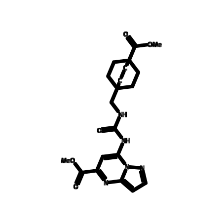 COC(=O)c1cc(NC(=O)NCC23CCC(C(=O)OC)(CC2)CC3)n2nccc2n1